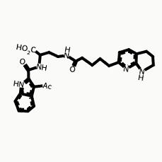 CC(=O)c1c(C(=O)NC(CCNC(=O)CCCCc2ccc3c(n2)NCCC3)C(=O)O)[nH]c2ccccc12